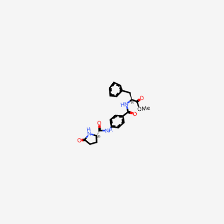 COC(=O)[C@H](Cc1ccccc1)NC(=O)c1ccc(NC(=O)[C@@H]2CCC(=O)N2)cc1